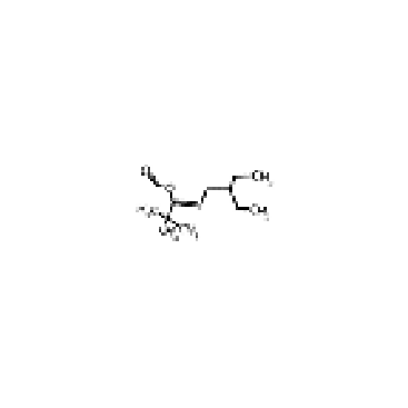 CCC(CC)C/C=C(\OC=O)C(C)(C)C